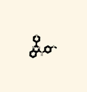 CSc1ccc(Nc2nc(-c3ccncc3)nc3ccccc23)cc1